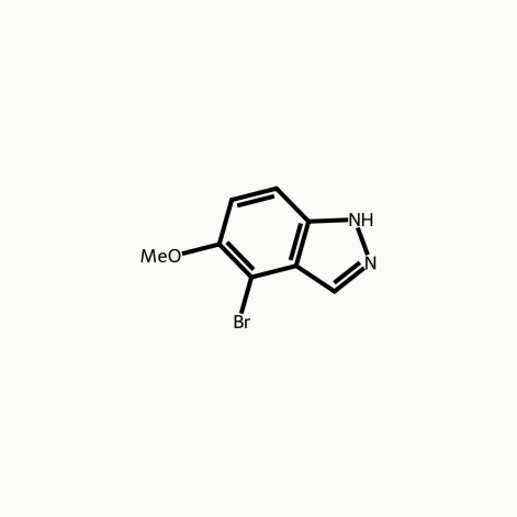 COc1ccc2[nH]ncc2c1Br